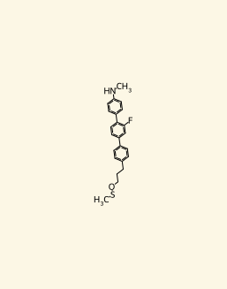 CNc1ccc(-c2ccc(-c3ccc(CCCOSC)cc3)cc2F)cc1